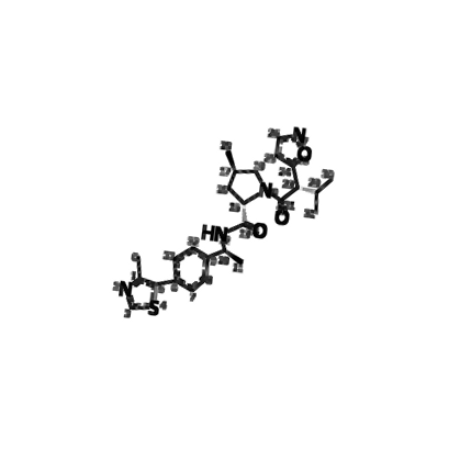 Cc1ncsc1-c1ccc([C@H](C)NC(=O)[C@@H]2C[C@@H](C)CN2C(=O)[C@H](c2ccno2)C(C)C)cc1